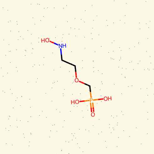 O=P(O)(O)COCCNO